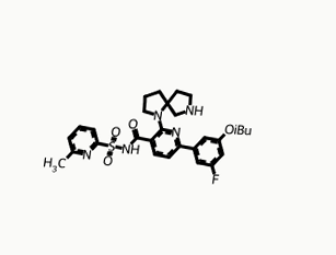 Cc1cccc(S(=O)(=O)NC(=O)c2ccc(-c3cc(F)cc(OCC(C)C)c3)nc2N2CCCC23CCNC3)n1